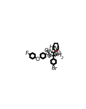 NC1CC2CCC(C1)N2C(=O)C(NS(=O)(=O)c1ccc(Oc2ccc(F)cc2)cc1)C(F)(F)c1ccc(Br)cc1